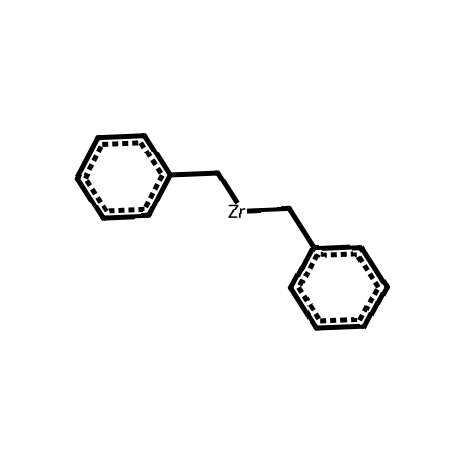 c1ccc([CH2][Zr][CH2]c2ccccc2)cc1